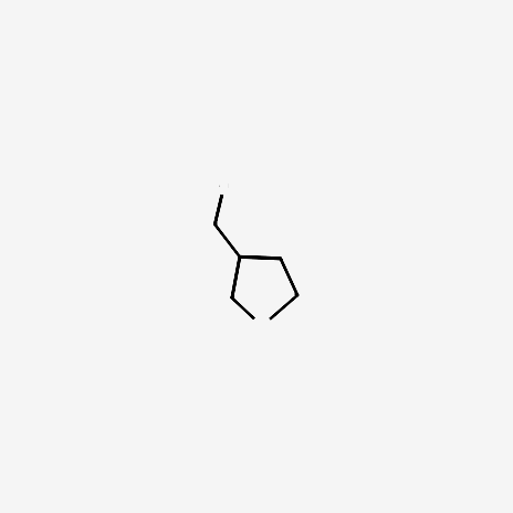 OCC1[CH]OCC1